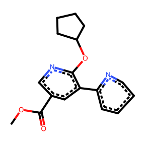 COC(=O)c1cnc(OC2CCCC2)c(-c2ccccn2)c1